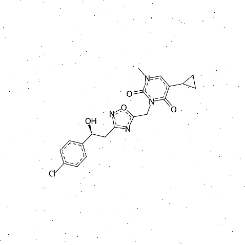 Cn1cc(C2CC2)c(=O)n(Cc2nc(C[C@H](O)c3ccc(Cl)cc3)no2)c1=O